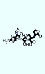 CO/N=C(\C(=O)N[C@@H]1C(=O)N2C(C(=O)O)=C(/C=C3\CCOC3=O)CS[C@@H]12)c1csc(N)n1